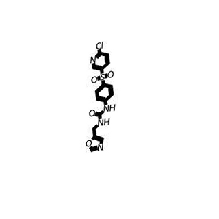 O=C(NCc1cnco1)Nc1ccc(S(=O)(=O)c2ccc(Cl)nc2)cc1